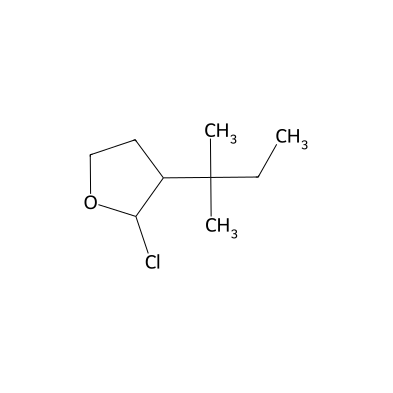 CCC(C)(C)C1CCOC1Cl